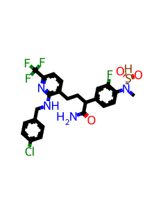 CN(c1ccc(C(CCc2ccc(C(F)(F)F)nc2NCc2ccc(Cl)cc2)C(N)=O)cc1F)[SH](=O)=O